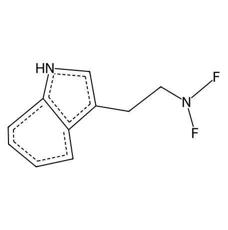 FN(F)CCc1c[nH]c2ccccc12